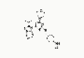 CCN[C@H]1CC[C@H](CNc2nc(N3CCOCC3)cc(-n3c(C(F)I)nc4ccccc43)n2)CC1